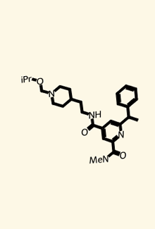 CNC(=O)c1cc(C(=O)NCCC2CCN(COC(C)C)CC2)cc(C(C)c2ccccc2)n1